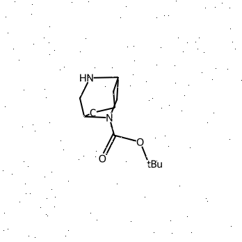 CC(C)(C)OC(=O)N1CC2CCCC1CN2